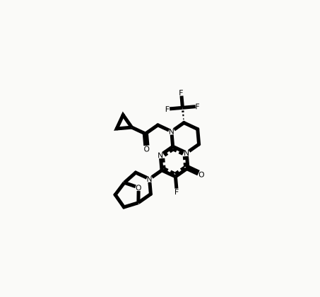 O=C(CN1c2nc(N3CC4CCC(C3)O4)c(F)c(=O)n2CC[C@H]1C(F)(F)F)C1CC1